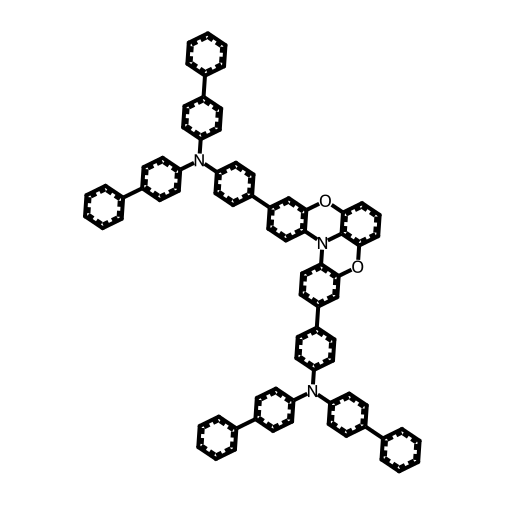 c1ccc(-c2ccc(N(c3ccc(-c4ccccc4)cc3)c3ccc(-c4ccc5c(c4)Oc4cccc6c4N5c4ccc(-c5ccc(N(c7ccc(-c8ccccc8)cc7)c7ccc(-c8ccccc8)cc7)cc5)cc4O6)cc3)cc2)cc1